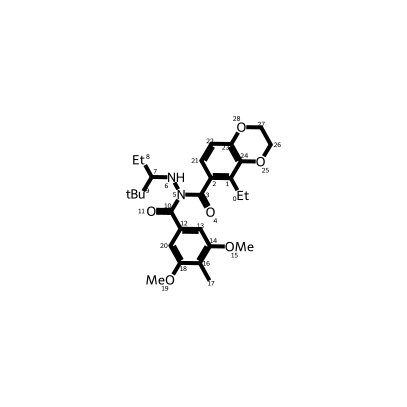 CCc1c(C(=O)N(NC(CC)C(C)(C)C)C(=O)c2cc(OC)c(C)c(OC)c2)ccc2c1OCCO2